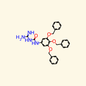 N=C(N)NC(=O)Nc1cc(OCc2ccccc2)c(OCc2ccccc2)c(OCc2ccccc2)c1